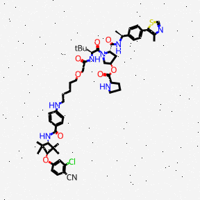 Cc1ncsc1-c1ccc([C@H](C)NC(=O)[C@@H]2C[C@@H](OC(=O)C3CCCN3)CN2C(=O)[C@@H](NC(=O)COCCCCCNc2ccc(C(=O)N[C@H]3C(C)(C)[C@H](Oc4ccc(C#N)c(Cl)c4)C3(C)C)cc2)C(C)(C)C)cc1